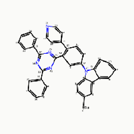 CC(C)(C)c1ccc2c(c1)c1ccccc1n2-c1ccc(-c2ccncc2)c(-c2nc(-c3ccccc3)nc(-c3ccccc3)n2)c1